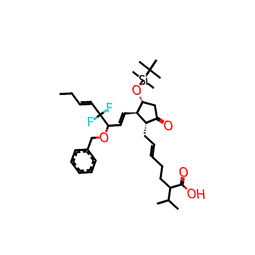 CCC=CC(F)(F)C(C=C[C@H]1[C@H](O[Si](C)(C)C(C)(C)C)CC(=O)[C@@H]1CC=CCCC(C(=O)O)C(C)C)OCc1ccccc1